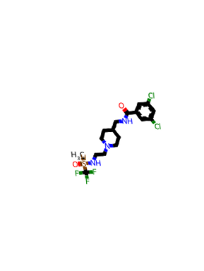 C[SH](=O)(NCCN1CCC(CNC(=O)c2cc(Cl)cc(Cl)c2)CC1)C(F)(F)F